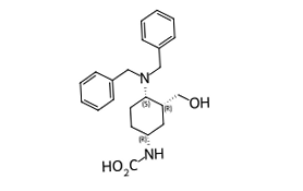 O=C(O)N[C@@H]1CC[C@H](N(Cc2ccccc2)Cc2ccccc2)[C@H](CO)C1